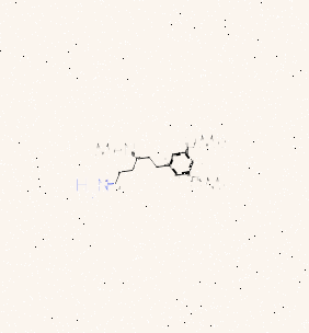 CNC(CCCN)CCc1cc(OC)cc(OC)c1